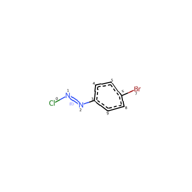 Cl/N=N/c1ccc(Br)cc1